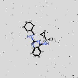 C[C@@H](Nc1nc(NCC2CCCCC2)nc2ccccc12)C1CC1